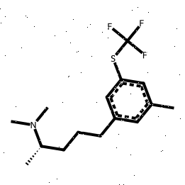 Cc1cc(CCC[C@H](C)N(C)C)cc(SC(F)(F)F)c1